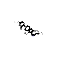 CCC/C=C\C1=C(N)CC2(CCN(c3ncc(C)[nH]c3=O)CC2)[C@@H]1N